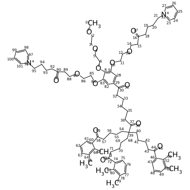 COCCOCCOc1c(OCCOCCC(=O)CCCC[n+]2ccccc2)cc(C(=O)CCCCCC(=O)C(CCCCC(=O)c2cccc(C)c2C)(CCCCC(=O)c2cccc(C)c2C)CCCCC(=O)c2cccc(C)c2C)cc1OCCOCCC(=O)CCCC[n+]1ccccc1